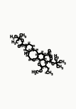 CCC(C(=O)OC)N(C(=O)OC(C)(C)C)c1cc2c(cc1[N+](=O)[O-])CN1CCN(C(=O)OC(C)(C)C)C[C@@H]1CCO2